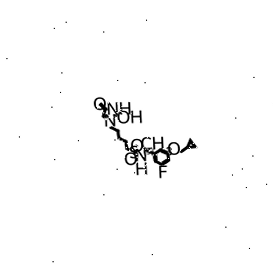 C[C@H](NS(=O)(=O)CCCCCN1CC(=O)NC1O)c1cc(F)cc(OCC2CC2)c1